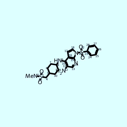 CNS(=O)(=O)CC1CCC(Nc2c(N)cnc3c2ccn3S(=O)(=O)c2ccccc2)CC1